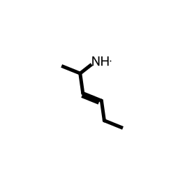 CCC=CC(C)[NH]